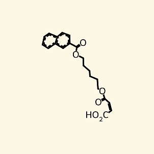 O=C(O)/C=C\C(=O)OCCCCCCOC(=O)c1ccc2ccccc2c1